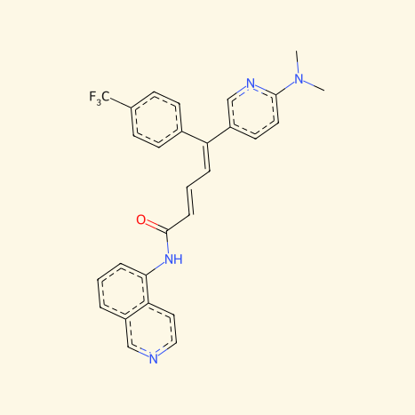 CN(C)c1ccc(C(=CC=CC(=O)Nc2cccc3cnccc23)c2ccc(C(F)(F)F)cc2)cn1